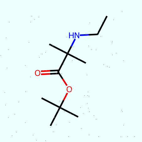 CCNC(C)(C)C(=O)OC(C)(C)C